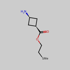 CSCCOC(=O)[C@H]1C[C@@H](N)C1